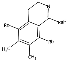 Cc1c(C)[c]([Re])c2c([c]1[Rb])[C]([RaH])=NCC2